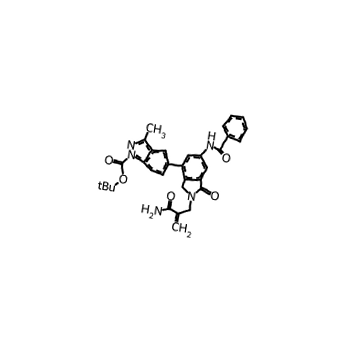 C=C(CN1Cc2c(cc(NC(=O)c3ccccc3)cc2-c2ccc3c(c2)c(C)nn3C(=O)OC(C)(C)C)C1=O)C(N)=O